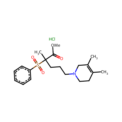 COC(=O)C(C)(CCCN1CCC(C)=C(C)C1)S(=O)(=O)c1ccccc1.Cl